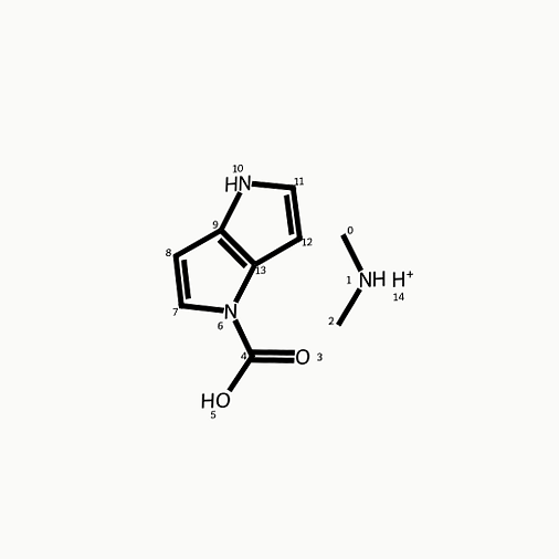 CNC.O=C(O)n1ccc2[nH]ccc21.[H+]